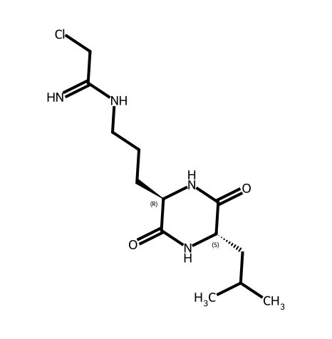 CC(C)C[C@@H]1NC(=O)[C@@H](CCCNC(=N)CCl)NC1=O